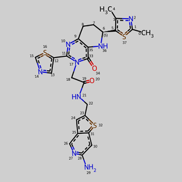 Cc1nc(C)c([C@@H]2CCc3nc(-c4cncs4)n(CC(=O)NCc4cc5cnc(N)cc5s4)c(=O)c3N2)s1